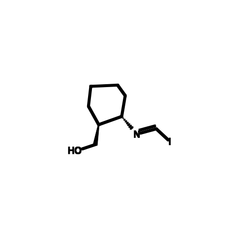 OC[C@H]1CCCC[C@@H]1/N=C/I